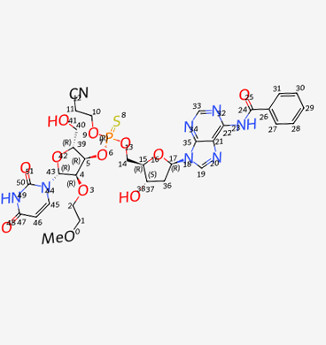 COCCO[C@@H]1[C@H](O[P@@](=S)(OCCC#N)OC[C@H]2O[C@@H](n3cnc4c(NC(=O)c5ccccc5)ncnc43)C[C@@H]2O)[C@@H](CO)O[C@H]1n1ccc(=O)[nH]c1=O